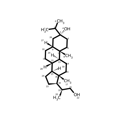 CC(C)[C@@]1(O)CC[C@@]2(C)[C@H](CC[C@@H]3[C@@H]2CC[C@]2(C)[C@@H]([C@H](C)CO)CC[C@@H]32)C1